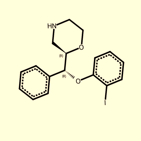 Ic1ccccc1O[C@H](c1ccccc1)[C@H]1CNCCO1